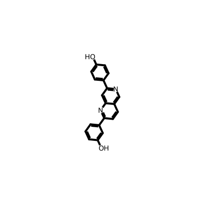 Oc1ccc(-c2cc3nc(-c4cccc(O)c4)ccc3cn2)cc1